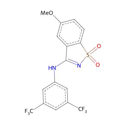 COc1ccc2c(c1)C(Nc1cc(C(F)(F)F)cc(C(F)(F)F)c1)=NS2(=O)=O